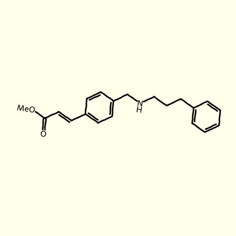 COC(=O)/C=C/c1ccc(CNCCCc2ccccc2)cc1